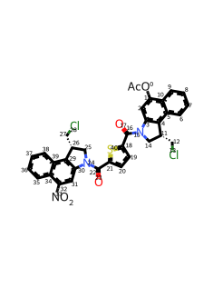 CC(=O)Oc1cc2c(c3ccccc13)[C@H](CCl)CN2C(=O)c1ccc(C(=O)N2C[C@@H](CCl)c3c2cc([N+](=O)[O-])c2ccccc32)s1